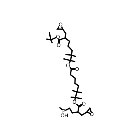 CP(O)CCC(CC1CO1)C(=O)OC(C)(C)C(C)(C)CCCCC(=O)OC(C)(C)C(C)(C)CCCC(CC1CO1)C(=O)OC(C)(C)C